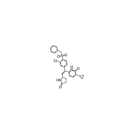 O=C1CC[C@H](C=C(c2ccc(S(=O)(=O)Cc3ccccc3)c(Cl)c2)c2ccc(C3CC3)c(=O)[nH]2)N1